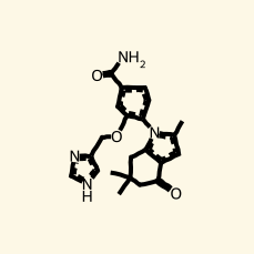 Cc1cc2c(n1-c1ccc(C(N)=O)cc1OCc1c[nH]cn1)CC(C)(C)CC2=O